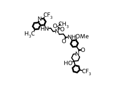 COc1cc(C(=O)N2CCC(O)(c3cccc(C(F)(F)F)c3)CC2)ccc1NC(=O)CCN(CCNc1cc(C(F)(F)F)nc2ccc(C)cc12)S(C)(=O)=O